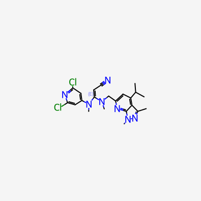 Cc1nn(C)c2nc(CN(C)/C(=C\C#N)N(C)c3cc(Cl)nc(Cl)c3)cc(C(C)C)c12